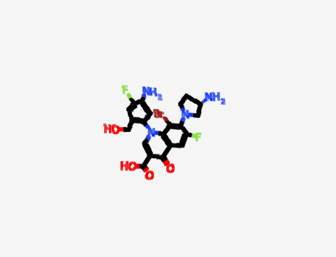 Nc1cc(-n2cc(C(=O)O)c(=O)c3cc(F)c(N4CC[C@H](N)C4)c(Br)c32)c(CO)cc1F